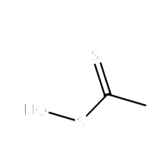 CC(=S)SO